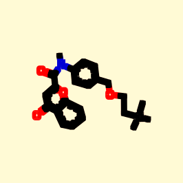 CN(C(=O)c1cc(=O)c2ccccc2o1)c1ccc(COCC[Si](C)(C)C)cc1